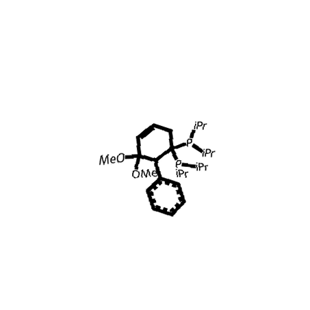 COC1(OC)C=CCC(P(C(C)C)C(C)C)(P(C(C)C)C(C)C)C1c1ccccc1